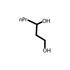 CCCC(O)CCO